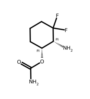 NC(=O)O[C@@H]1CCCC(F)(F)[C@@H]1N